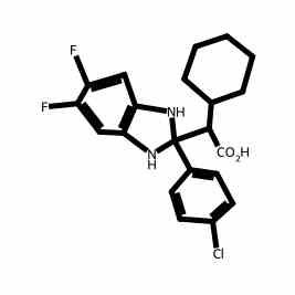 O=C(O)C(C1CCCCC1)C1(c2ccc(Cl)cc2)Nc2cc(F)c(F)cc2N1